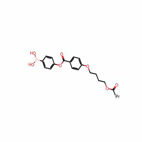 CC(C)C(=O)OCCCCOc1ccc(C(=O)Oc2ccc(B(O)O)cc2)cc1